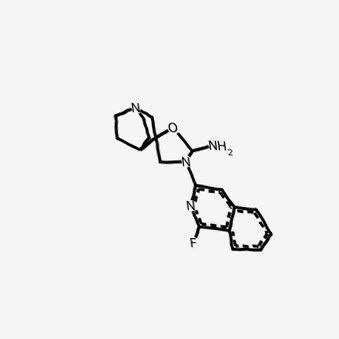 NC1OC2(CN3CCC2CC3)CN1c1cc2ccccc2c(F)n1